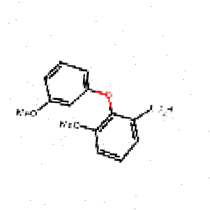 COc1cccc(Oc2c(OC)cccc2C(=O)O)c1